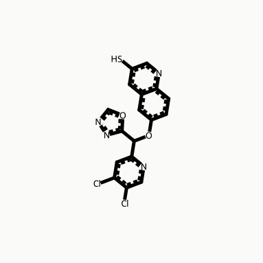 Sc1cnc2ccc(OC(c3cc(Cl)c(Cl)cn3)c3nnco3)cc2c1